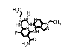 CCC[C@@H](Nc1nc(Nc2cncc3c2cnn3CC)c(C(N)=O)cc1F)[C@H](C)N